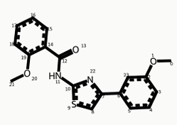 COc1cccc(-c2csc(NC(=O)c3ccccc3OC)n2)c1